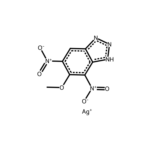 COc1c([N+](=O)[O-])cc2nn[nH]c2c1[N+](=O)[O-].[Ag+]